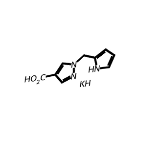 O=C(O)c1cnn(Cc2ccc[nH]2)c1.[KH]